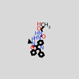 CCC(O)CNC(=O)Nc1ccc2nc(-c3ccccc3)c(-c3ccccc3)c(C(=O)NC3CC3)c2c1